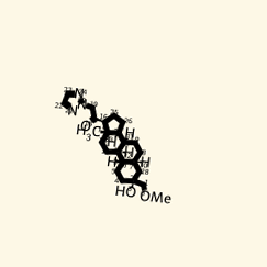 COC[C@@]1(O)CC[C@H]2[C@@H](CC[C@@H]3[C@@H]2CC[C@]2(C)[C@@H](C(=O)Cn4nccn4)CC[C@@H]32)C1